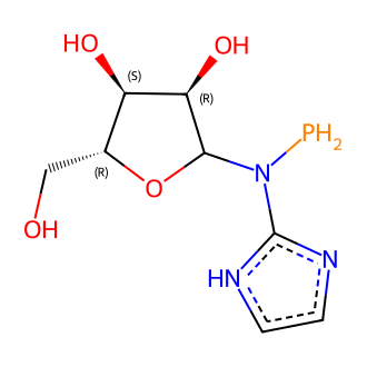 OC[C@H]1OC(N(P)c2ncc[nH]2)[C@H](O)[C@@H]1O